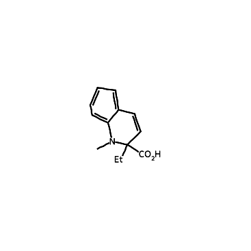 CCC1(C(=O)O)C=Cc2ccccc2N1C